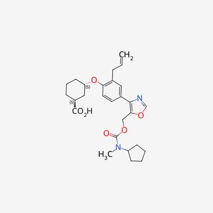 C=CCc1cc(-c2ncoc2COC(=O)N(C)C2CCCC2)ccc1O[C@H]1CCC[C@H](C(=O)O)C1